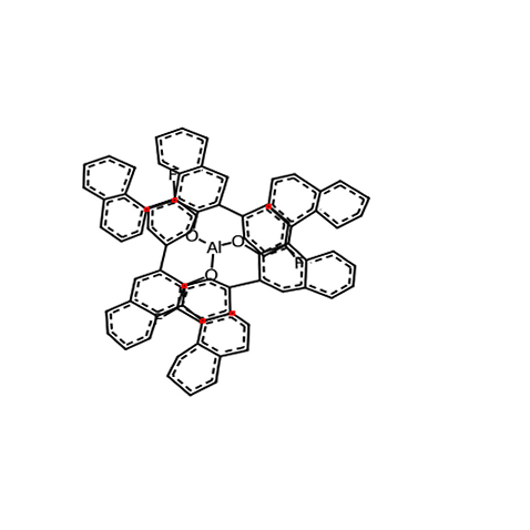 Fc1ccc(-c2cc3ccccc3c(-c3cccc4ccccc34)c2[O][Al]([O]c2c(-c3ccc(F)cc3)cc3ccccc3c2-c2cccc3ccccc23)[O]c2c(-c3ccc(F)cc3)cc3ccccc3c2-c2cccc3ccccc23)cc1